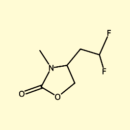 CN1C(=O)OCC1CC(F)F